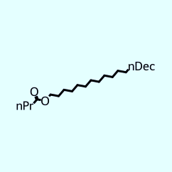 CCCCCCCCCCCCCCCCCCCCCCOC(=O)CCC